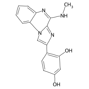 CNc1nc2ccccc2n2cc(-c3ccc(O)cc3O)nc12